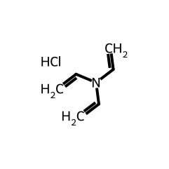 C=CN(C=C)C=C.Cl